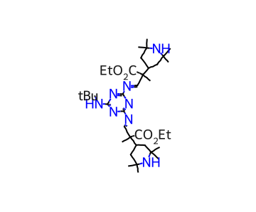 CCOC(=O)C(C)(C=Nc1nc(N=CC(C)(C(=O)OCC)C2CC(C)(C)NC(C)(C)C2)nc(NC(C)(C)C)n1)C1CC(C)(C)NC(C)(C)C1